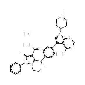 Cl.NC(=O)c1c2n(n(-c3ccccc3)c1=O)CCOC2c1ccc(-c2cn(C3CCNCC3)c3ncnc(N)c23)cc1